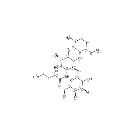 NCC[C@H](O)C(=O)N[C@@H]1C(O)[C@H](N)C(O[C@H]2OC(CN)CCC2N)C(O)[C@H]1O[C@H]1OC(CO)[C@H](O)[C@H](N)C1O